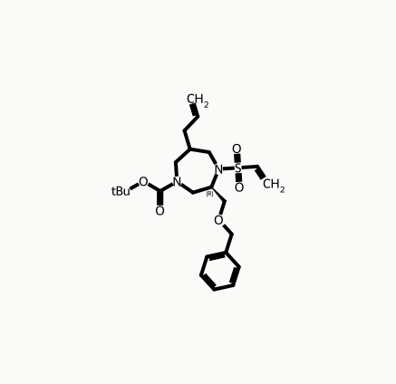 C=CCC1CN(C(=O)OC(C)(C)C)C[C@H](COCc2ccccc2)N(S(=O)(=O)C=C)C1